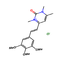 COc1cc(C=Cc2cc(C)n(C)c(=O)[n+]2C)cc(OC)c1OC.[Cl-]